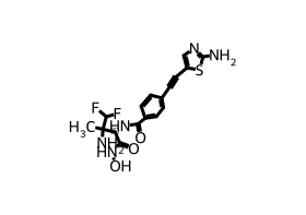 CC(N)(C(F)F)[C@H](NC(=O)c1ccc(C#Cc2cnc(N)s2)cc1)C(=O)NO